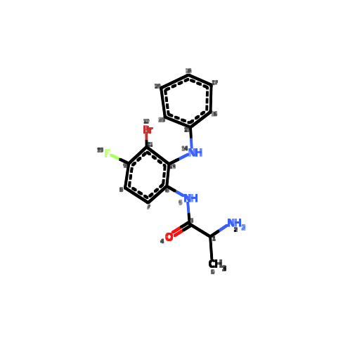 CC(N)C(=O)Nc1ccc(F)c(Br)c1Nc1ccccc1